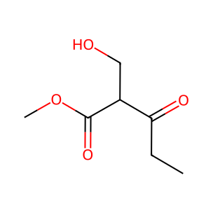 CCC(=O)C(CO)C(=O)OC